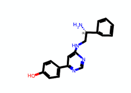 N[C@@H](CNc1cc(-c2ccc(O)cc2)ncn1)c1ccccc1